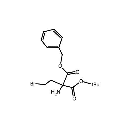 CC(C)(C)OC(=O)C(N)(CCBr)C(=O)OCc1ccccc1